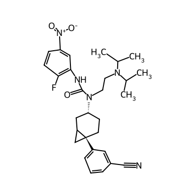 CC(C)N(CCN(C(=O)Nc1cc([N+](=O)[O-])ccc1F)[C@@H]1CC[C@]2(c3cccc(C#N)c3)CC2C1)C(C)C